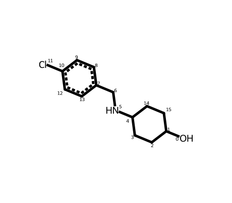 OC1CCC(NCc2ccc(Cl)cc2)CC1